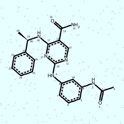 CC(=O)Nc1cccc(Nc2ncc(C(N)=O)c(N[C@H](C)c3ccccc3)n2)c1